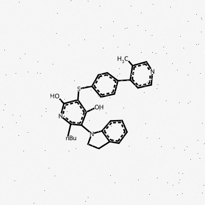 CCCCc1nc(O)c(Sc2ccc(-c3ccncc3C)cc2)c(O)c1N1CCc2ccccc21